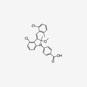 COC1(C)/C(=C\c2c(C)cccc2Cl)c2c(Cl)cccc2N1c1ccc(C(=O)O)cc1